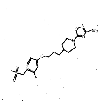 CC(C)(C)c1noc(N2CCC(CCCOc3ccc(CS(C)(=O)=O)c(F)c3)CC2)n1